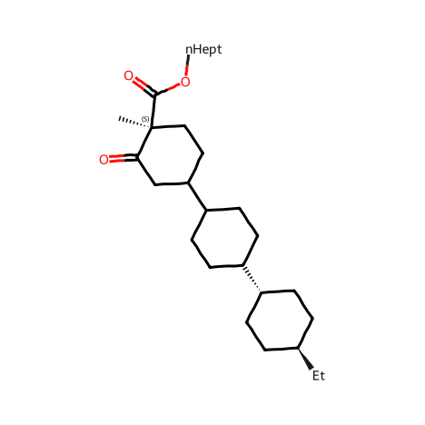 CCCCCCCOC(=O)[C@@]1(C)CCC(C2CCC([C@H]3CC[C@H](CC)CC3)CC2)CC1=O